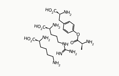 C[C@H](N)C(=O)Oc1ccc(C[C@H](N)C(=O)O)cc1.N=C(N)NCCC[C@H](N)C(=O)O.NCCCC[C@H](N)C(=O)O